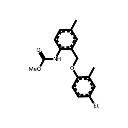 CCc1ccc(OCc2cc(C)ccc2NC(=O)OC)c(C)c1